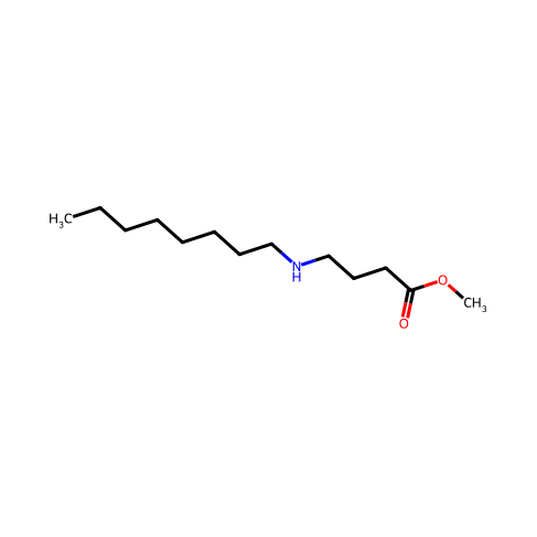 CCCCCCCCNCCCC(=O)OC